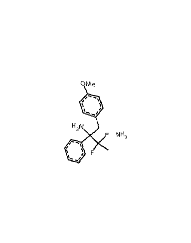 COc1ccc(CC(N)(c2ccccc2)C(C)(F)F)cc1.N